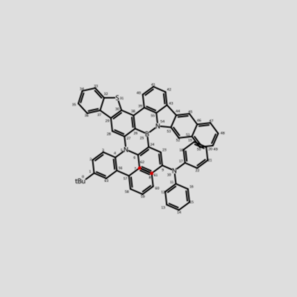 CC(C)(C)c1ccc(N2c3ccc(N(c4ccccc4)c4ccccc4)cc3B3c4c2cc2c(sc5ccccc52)c4-c2cccc4c5cc6ccccc6cc5n3c24)c(-c2ccccc2)c1